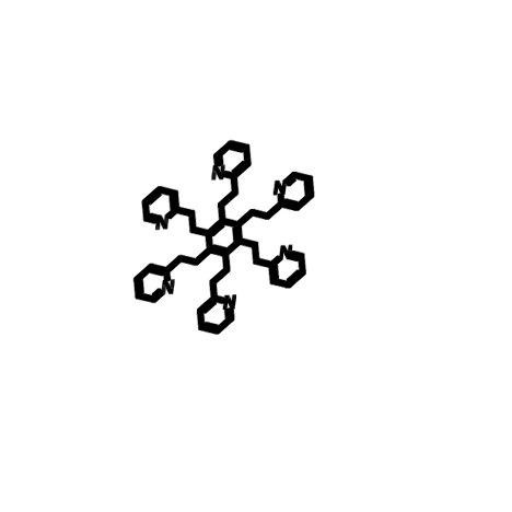 c1ccc(CCc2c(CCc3ccccn3)c(CCc3ccccn3)c(CCc3ccccn3)c(CCc3ccccn3)c2CCc2ccccn2)nc1